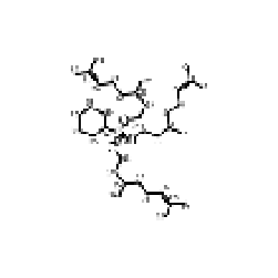 CC(C)=CCCC(C)CCO[Si](OCCC(C)CCC=C(C)C)(OCCC(C)CCC=C(C)C)C1CCCCC1